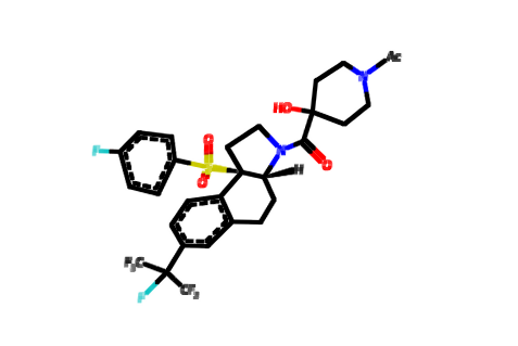 CC(=O)N1CCC(O)(C(=O)N2CC[C@@]3(S(=O)(=O)c4ccc(F)cc4)c4ccc(C(F)(C(F)(F)F)C(F)(F)F)cc4CC[C@@H]23)CC1